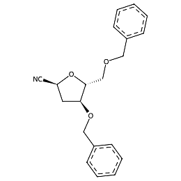 N#C[C@@H]1C[C@H](OCc2ccccc2)[C@@H](COCc2ccccc2)O1